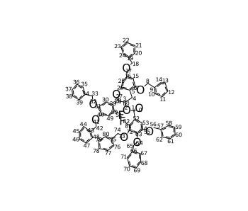 O=C(O[C@@H]1Cc2c(OCc3ccccc3)cc(OCc3ccccc3)cc2O[C@H]1c1cc(OCc2ccccc2)c(OCc2ccccc2)cc1F)c1cc(OCc2ccccc2)c(OCc2ccccc2)c(OCc2ccccc2)c1F